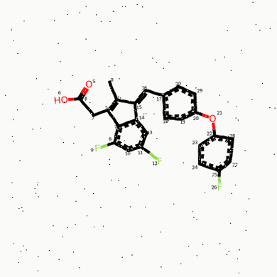 CC1=C(CC(=O)O)c2c(F)cc(F)cc2/C1=C\c1ccc(Oc2ccc(F)cc2)cc1